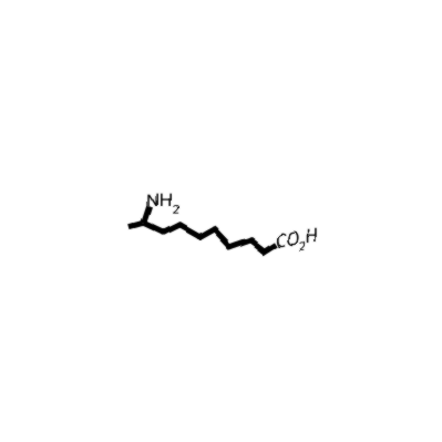 CC(N)CCCCCCCC(=O)O